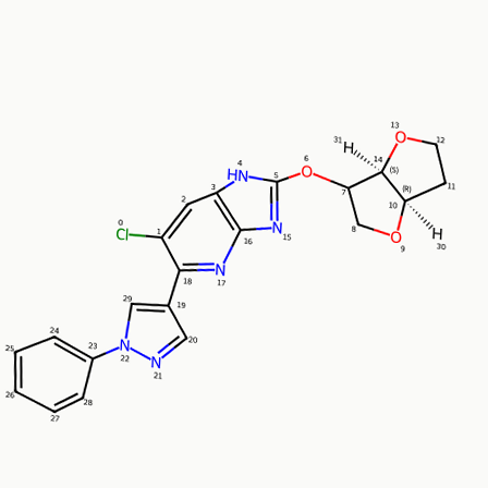 Clc1cc2[nH]c(OC3CO[C@@H]4CCO[C@H]34)nc2nc1-c1cnn(-c2ccccc2)c1